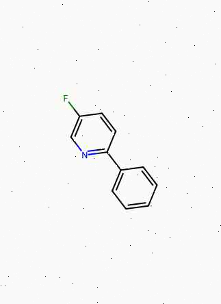 Fc1ccc(-c2cc[c]cc2)nc1